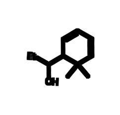 CCC(O)C1C=CC=CC1(C)C